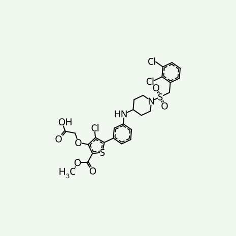 COC(=O)c1sc(-c2cccc(NC3CCN(S(=O)(=O)Cc4cccc(Cl)c4Cl)CC3)c2)c(Cl)c1OCC(=O)O